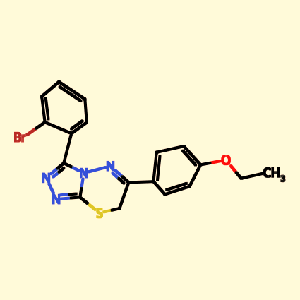 CCOc1ccc(C2=Nn3c(nnc3-c3ccccc3Br)SC2)cc1